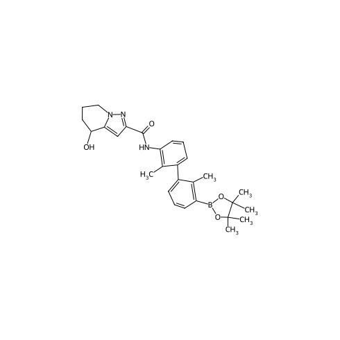 Cc1c(NC(=O)c2cc3n(n2)CCCC3O)cccc1-c1cccc(B2OC(C)(C)C(C)(C)O2)c1C